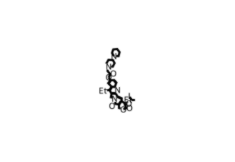 CCc1c2c(nc3ccc(OC(=O)CN4CCC(N5CCCCC5)CC4)cc13)-c1cc3c(c(=O)n1C2)COC(=O)[C@@]3(CC)OC(C)I